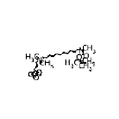 CN(CCCCCCCCCCC[N+](C)(C)CCCS(=O)(=O)[O-])C(=O)OC(C)(C)C